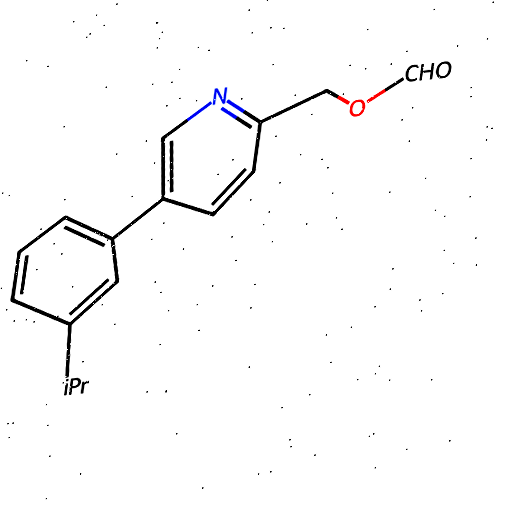 CC(C)c1cccc(-c2ccc(COC=O)nc2)c1